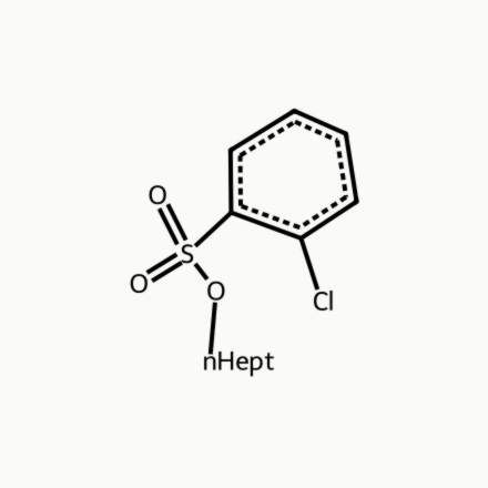 CCCCCCCOS(=O)(=O)c1ccccc1Cl